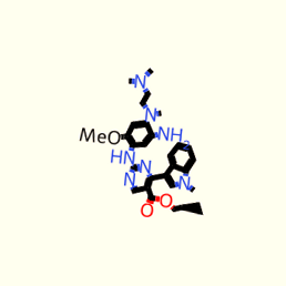 COc1cc(N(C)CCN(C)C)c(N)cc1Nc1ncc(C(=O)OCC2CC2)c(-c2cn(C)c3ccccc23)n1